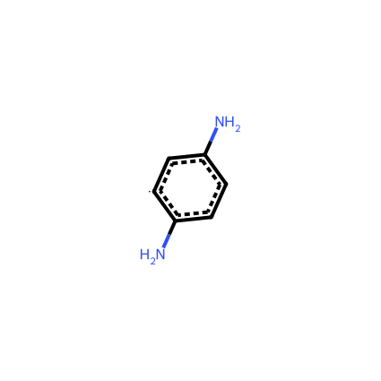 Nc1[c]cc(N)cc1